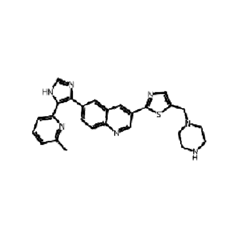 Cc1cccc(-c2[nH]cnc2-c2ccc3ncc(-c4ncc(CN5CCNCC5)s4)cc3c2)n1